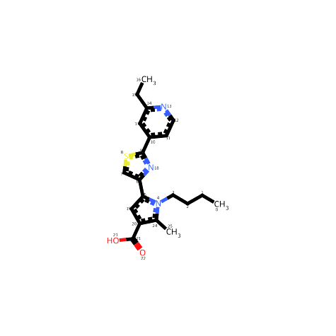 CCCCn1c(-c2csc(-c3ccnc(CC)c3)n2)cc(C(=O)O)c1C